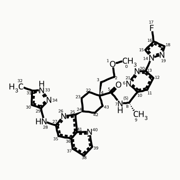 COCC[C@]1(C(=O)N[C@@H](C)c2ccc(-n3cc(F)cn3)nn2)CC[C@H](c2nc(Nc3cc(C)[nH]n3)cc3cccnc32)CC1